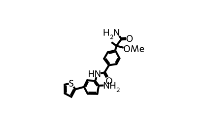 COC(C)(C(N)=O)c1ccc(C(=O)Nc2cc(-c3cccs3)ccc2N)cc1